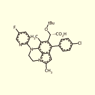 Cc1c([C@H](OC(C)(C)C)C(=O)O)c(-c2ccc(Cl)cc2)c2cc(C)n3c2c1N(c1ccc(F)cn1)CC3